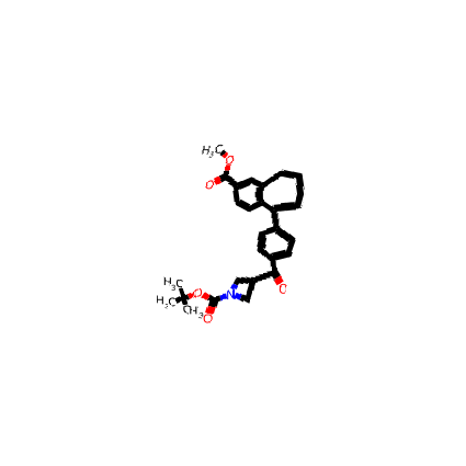 COC(=O)c1ccc2c(c1)CCCC=C2c1ccc(C(=O)C2CN(C(=O)OC(C)(C)C)C2)cc1